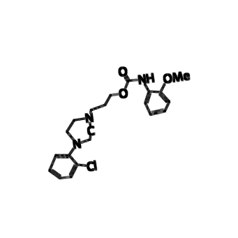 COc1ccccc1NC(=O)OCCCN1CCN(c2ccccc2Cl)CC1